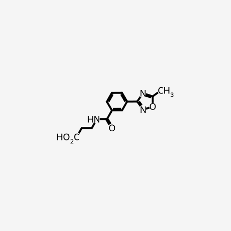 Cc1nc(-c2cccc(C(=O)NCCC(=O)O)c2)no1